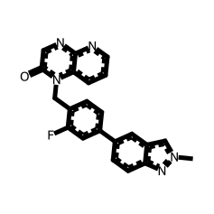 Cn1cc2cc(-c3ccc(Cn4c(=O)cnc5ncccc54)c(F)c3)ccc2n1